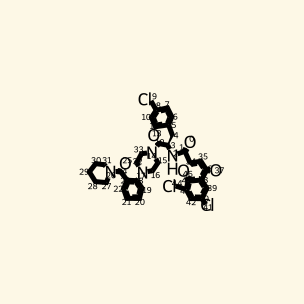 O=C(N[C@H](Cc1ccc(Cl)cc1)C(=O)N1CCN(c2ccccc2C(=O)N2CCCCC2)CC1)c1cc(=O)c2cc(Cl)cc(Cl)c2o1